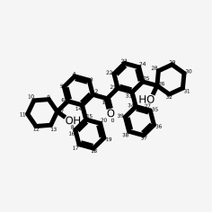 O=C(c1cccc(C2(O)CCCCC2)c1-c1ccccc1)c1cccc(C2(O)CCCCC2)c1-c1ccccc1